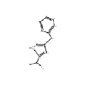 CC(Cl)c1nc(Cc2ccccc2)no1